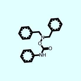 O=C(Nc1ccccc1)ON(Cc1ccccc1)Cc1ccccc1